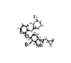 FC1CCCN(Cc2cccnc2Oc2ccc3c(nnn3CC3CC3)c2Br)C1